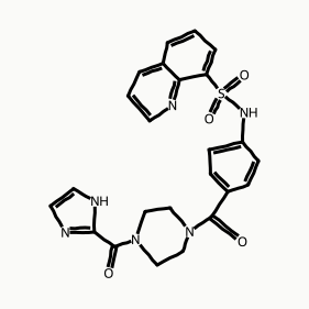 O=C(c1ccc(NS(=O)(=O)c2cccc3cccnc23)cc1)N1CCN(C(=O)c2ncc[nH]2)CC1